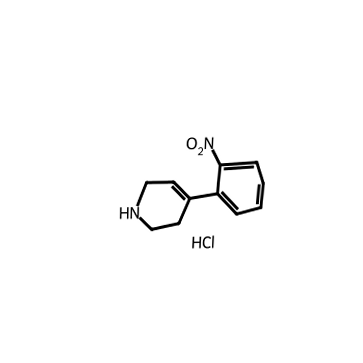 Cl.O=[N+]([O-])c1ccccc1C1=CCNCC1